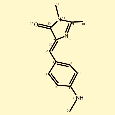 CNc1ccc(/C=C2\N=C(C)N(C)C2=O)cc1